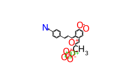 Cc1cc2cc3c(cc2c(/C=C/c2ccc(C#N)cc2)[o+]1)OCO3.[O-][Cl+3]([O-])([O-])[O-]